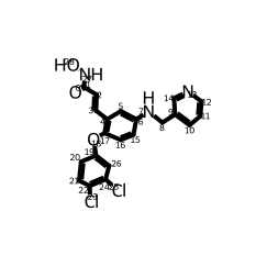 O=C(/C=C/c1cc(NCc2cccnc2)ccc1Oc1ccc(Cl)c(Cl)c1)NO